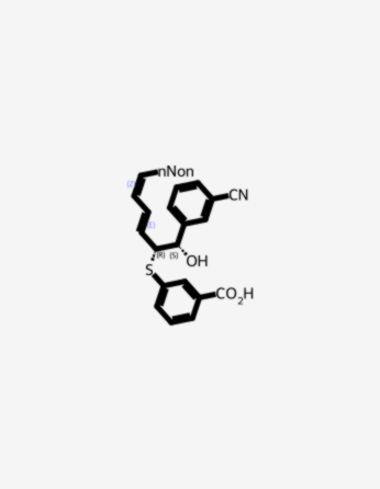 CCCCCCCCC/C=C\C=C\[C@@H](Sc1cccc(C(=O)O)c1)[C@@H](O)c1cccc(C#N)c1